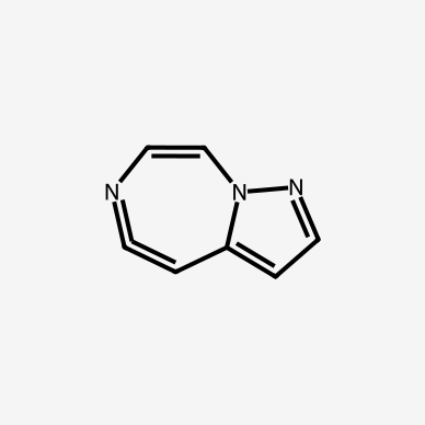 C1=Cc2ccnn2C=CN=1